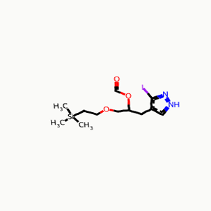 C[Si](C)(C)CCOCC(Cc1c[nH]nc1I)OC=O